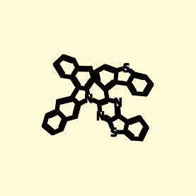 c1ccc2cc3c(cc2c1)c1c2ccccc2ccc1n3-c1nc2sc3ccccc3c2nc1-c1cccc2sc3ccccc3c12